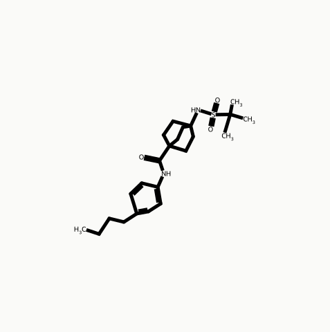 CCCCc1ccc(NC(=O)C23CCC(NS(=O)(=O)C(C)(C)C)(CC2)CC3)cc1